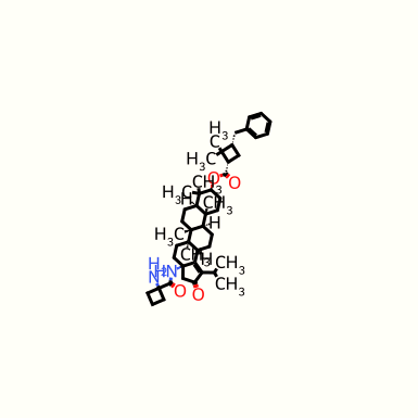 CC(C)C1=C2[C@H]3CC[C@@H]4[C@@]5(C)CC[C@H](OC(=O)[C@H]6C[C@@H](Cc7ccccc7)C6(C)C)C(C)(C)[C@@H]5CC[C@@]4(C)[C@]3(C)CC[C@@]2(NC(=O)C2(N)CCC2)CC1=O